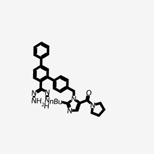 CCCCc1ncc(C(=O)N2CCCC2)n1Cc1ccc(-c2cc(-c3ccccc3)ccc2/C(N=N)=N/N)cc1